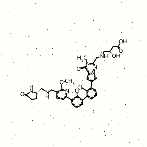 COc1nc(-c2cccc(-c3cccc(-c4cc5c(=O)n(C)c(CNC[C@@H](O)CC(=O)O)nn5c4)c3Cl)c2Cl)ccc1CNC[C@@H]1CCC(=O)N1